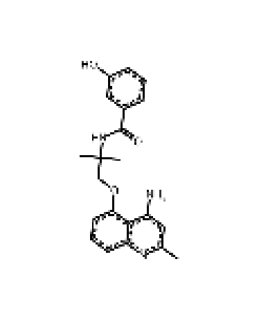 Cc1cc(N)c2c(OCC(C)(C)NC(=O)c3cccc(O)c3)cccc2n1